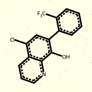 Oc1c(-c2ccccc2C(F)(F)F)cc(Cl)c2cccnc12